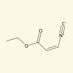 [C-]#[N+]/C=C\C(=O)OCC